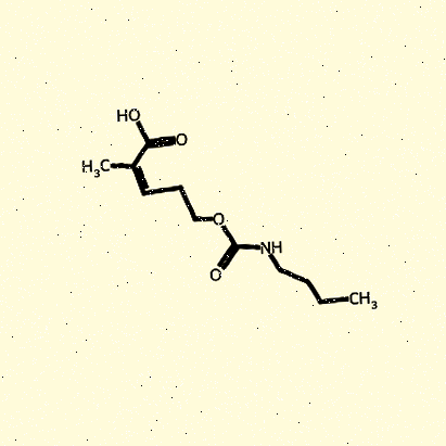 CCCCNC(=O)OCCC=C(C)C(=O)O